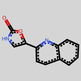 O=c1[nH]cc(-c2ccc3ccccc3n2)o1